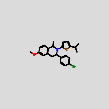 COc1ccc2c(c1)CC(c1ccc(Br)cc1)N(c1ccc(C(C)C)s1)C2C